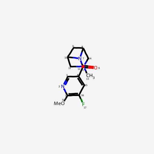 COc1ncc(C(=O)N2C3CC2CN(C)C3)cc1F